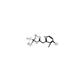 CC(C)(C)OC(=O)Cc1nccc(Cl)c1F